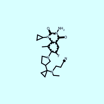 CCN(CCC#N)C1(C2CCN(c3c(F)cc4c(=O)n(N)c(=O)n(C5CC5)c4c3C)C2)CC1